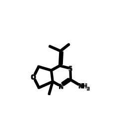 CC(C)=C1SC(N)=NC2(C)COCC12